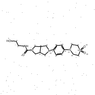 O=C(NCCO)N1CC2CN(c3ccc(N4CCS(=O)(=O)CC4)cc3)CC2C1